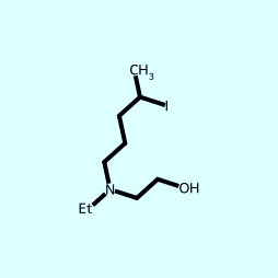 CCN(CCO)CCCC(C)I